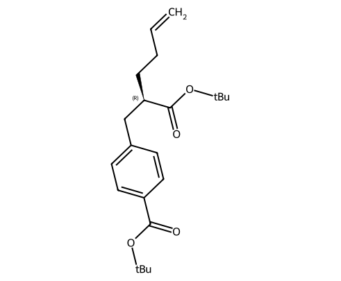 C=CCC[C@H](Cc1ccc(C(=O)OC(C)(C)C)cc1)C(=O)OC(C)(C)C